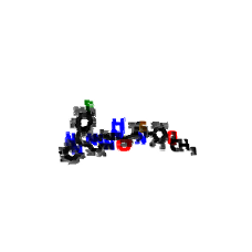 COc1ccc(-c2nc(C(=O)Nc3cn4nc(-c5c(-c6ccc(F)cc6)nc6ccccn56)ccc4n3)cs2)cc1